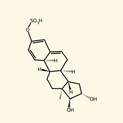 C[C@]12CC[C@H]3[C@@H](CC=C4C=C(OS(=O)(=O)O)C=C[C@@H]43)[C@@H]1C[C@H](O)[C@H]2O